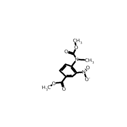 COC(=O)c1ccc(N(C)C(=O)OC)c([N+](=O)[O-])c1